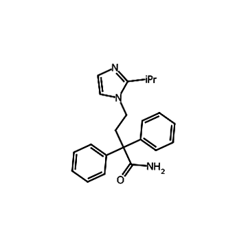 CC(C)c1nccn1CCC(C(N)=O)(c1ccccc1)c1ccccc1